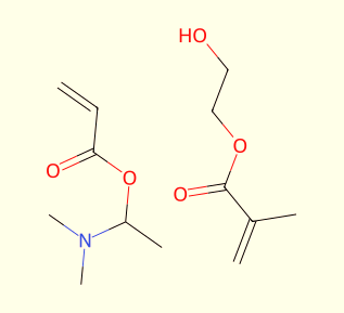 C=C(C)C(=O)OCCO.C=CC(=O)OC(C)N(C)C